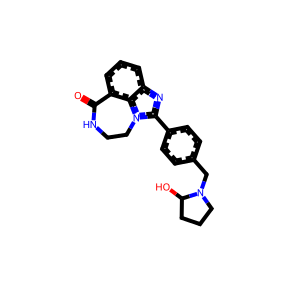 O=C1NCCn2c(-c3ccc(CN4CCCC4O)cc3)nc3cccc1c32